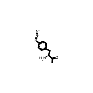 CC(=O)[C@@H](N)Cc1ccc(N=[N+]=[N-])cc1